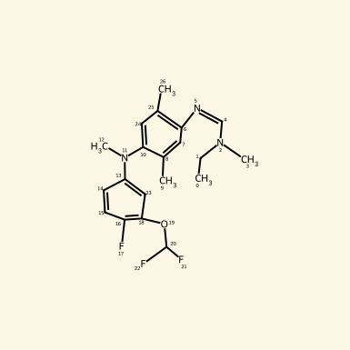 CCN(C)/C=N\c1cc(C)c(N(C)c2ccc(F)c(OC(F)F)c2)cc1C